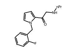 CCCNCC(=O)c1cccn1Cc1ccccc1F